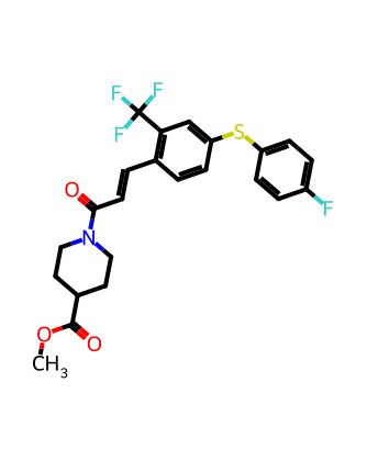 COC(=O)C1CCN(C(=O)/C=C/c2ccc(Sc3ccc(F)cc3)cc2C(F)(F)F)CC1